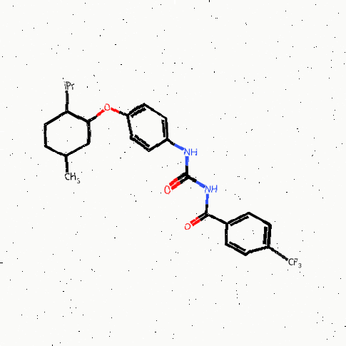 CC1CCC(C(C)C)C(Oc2ccc(NC(=O)NC(=O)c3ccc(C(F)(F)F)cc3)cc2)C1